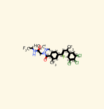 CN(C(=O)O)N(CC(=O)NCC(F)(F)F)C(=O)c1ccc(/C(F)=C/C(c2cc(Cl)c(Cl)c(Cl)c2)C(F)(F)F)cc1C(F)(F)F